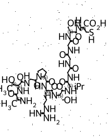 CC(C)[C@H](NC(=O)[C@H](CO)NC(=O)[C@H](CCCNC(=N)N)NC(=O)[C@@H]1CCCN1C(=O)CNC(=O)[C@@H](NC(=O)[C@H](C)N)[C@@H](C)O)C(=O)NCC(=O)NCC(=O)NCC(=O)N[C@@H](CO)C(=O)N[C@@H](CS)C(=O)O